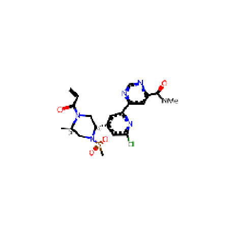 C=CC(=O)N1C[C@H](c2cc(Cl)nc(-c3cc(C(=O)NC)ncn3)c2)N(S(C)(=O)=O)C[C@H]1C